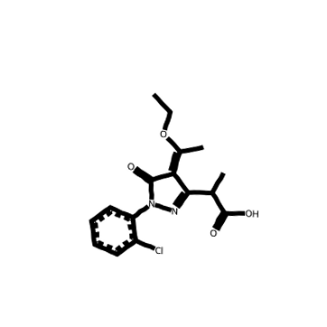 CCOC(C)=C1C(=O)N(c2ccccc2Cl)N=C1C(C)C(=O)O